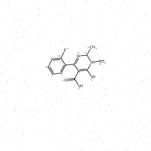 CC(C)C1=C(C(=O)S)C(c2ccccc2F)=NC(C)N1N